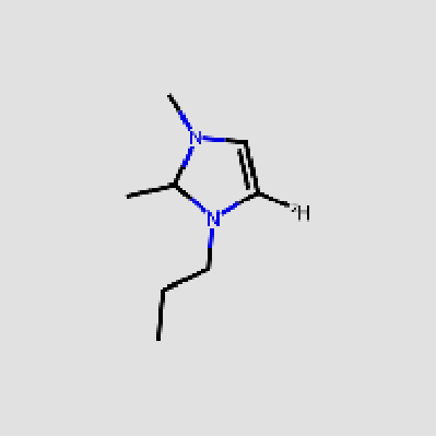 [2H]C1=CN(C)C(C)N1CCC